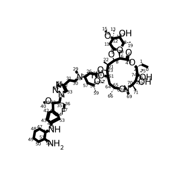 CC[C@H]1OC(=O)[C@H](C)[C@@H](O[C@H]2C[C@@](C)(OC)[C@@H](O)[C@H](C)O2)[C@H](C)[C@@H](O[C@H]2C[C@@H](N(C)CCc3cn([C@H](CF)[C@H](OC)c4ccc(NC5CCCCC5N)cc4)nn3)C[C@@H](C)O2)[C@](C)(O)C[C@@H](C)CN(C)[C@H](C)[C@@H](O)[C@]1(C)O